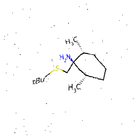 C[C@@H]1CCC[C@H](C)[C@]1(N)CSC(C)(C)C